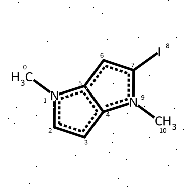 Cn1ccc2c1cc(I)n2C